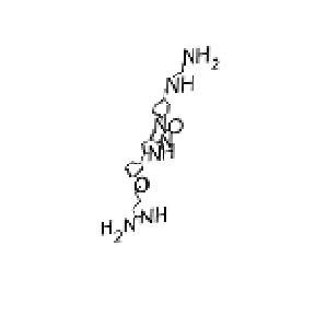 N=C(N)CCCOc1cccc(-c2cc3cn(-c4ccc(CNCCCN)cc4)c(=O)nc3[nH]2)c1